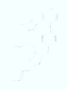 C/C=C/Cc1nn(C/C=C/C)c(=O)n1Cc1ccc(-c2ccccc2-c2nnn[nH]2)cc1